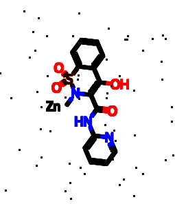 CN1C(C(=O)Nc2ccccn2)=C(O)c2ccccc2S1(=O)=O.[Zn]